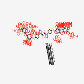 O=C(Nc1ccc(S[C@@H]2O[C@H](COS(=O)(=O)O)[C@@H](O[C@H]3O[C@H](COS(=O)(=O)O)[C@@H](OS(=O)(=O)O)[C@H](OS(=O)(=O)O)[C@H]3OS(=O)(=O)O)[C@H](OS(=O)(=O)O)[C@H]2OS(=O)(=O)O)cc1)C(=O)Nc1ccc(S[C@@H]2O[C@H](COS(=O)(=O)O)[C@@H](O[C@H]3O[C@H](COS(=O)(=O)O)[C@@H](OS(=O)(=O)O)[C@H](OS(=O)(=O)O)[C@H]3OS(=O)(=O)O)[C@H](OS(=O)(=O)O)[C@H]2OS(=O)(=O)O)cc1.[Na+].[Na+].[Na+].[Na+].[Na+].[Na+].[Na+].[Na+].[Na+].[Na+].[Na+].[Na+].[Na+].[Na+]